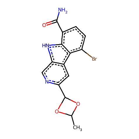 CC1OC(c2cc3c(cn2)[nH]c2c(C(N)=O)ccc(Br)c23)O1